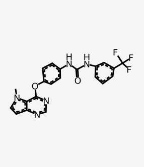 Cn1ccc2ncnc(Oc3ccc(NC(=O)Nc4cccc(C(F)(F)F)c4)cc3)c21